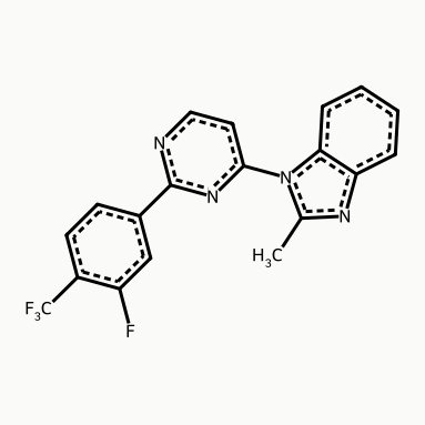 Cc1nc2ccccc2n1-c1ccnc(-c2ccc(C(F)(F)F)c(F)c2)n1